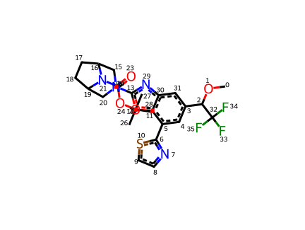 COC(c1cc(-c2nccs2)c2oc(N3CC4CCC(C3)N4C(=O)OC(C)(C)C)nc2c1)C(F)(F)F